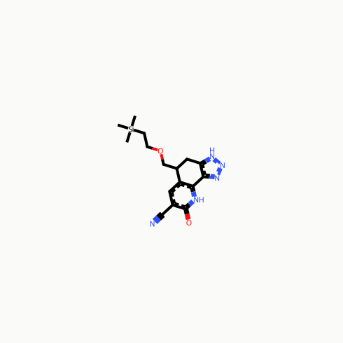 C[Si](C)(C)CCOCC1Cc2[nH]nnc2-c2[nH]c(=O)c(C#N)cc21